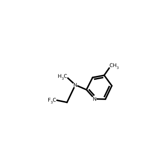 Cc1ccnc(N(C)CC(F)(F)F)c1